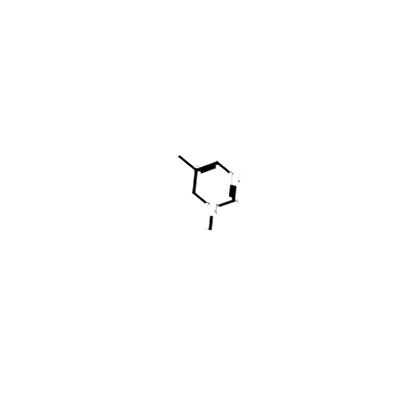 CC1=CN=CN(C)C1